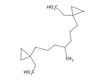 CC(CCCC1(CC(=O)O)CC1)CCCC1(CC(=O)O)CC1